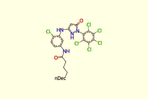 CCCCCCCCCCCCCC(=O)Nc1ccc(Cl)c(Nc2cc(=O)n(-c3c(Cl)c(Cl)c(Cl)c(Cl)c3Cl)[nH]2)c1